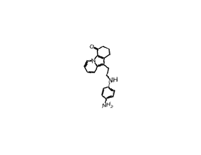 Nc1ccc(NCCc2c3c(n4ccccc24)C(=O)CCC3)cc1